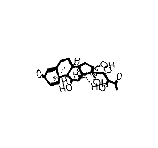 CC(=O)C(O)C(=O)[C@@]1(O)[C@H](O)C[C@H]2[C@@H]3CCC4=CC(=O)C=C[C@]4(C)[C@H]3C(O)C[C@@]21C